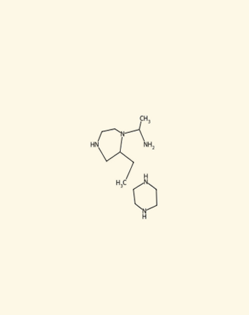 C1CNCCN1.CCC1CNCCN1C(C)N